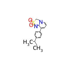 CCC(C)c1ccc(C2=CC=CN3CCS(=O)(=O)N=C23)cc1